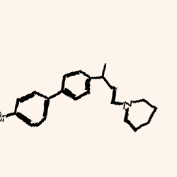 CC(CCN1CCCCC1)c1ccc(-c2ccc(Br)cc2)cc1